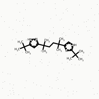 CC(C)(C)c1cc(C(C)(C)CCC(C)(C)c2c[nH]c(C(C)(C)C)n2)n[nH]1